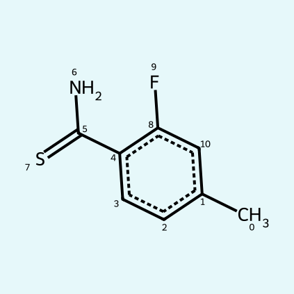 Cc1ccc(C(N)=S)c(F)c1